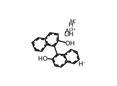 Oc1ccc2ccccc2c1-c1c(O)ccc2ccccc12.[Al+3].[H-].[H-].[H-].[LiH]